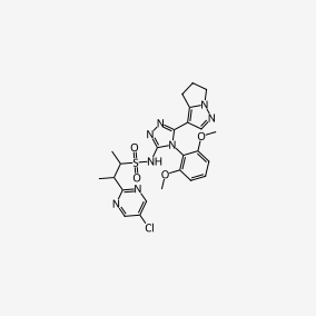 COc1cccc(OC)c1-n1c(NS(=O)(=O)C(C)C(C)c2ncc(Cl)cn2)nnc1-c1cnn2c1CCC2